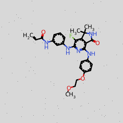 C=CC(=O)Nc1cccc(Nc2nc(Nc3ccc(OCCOC)cc3)c3c(c2F)C(C)(C)NC3=O)c1